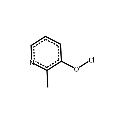 Cc1ncccc1OCl